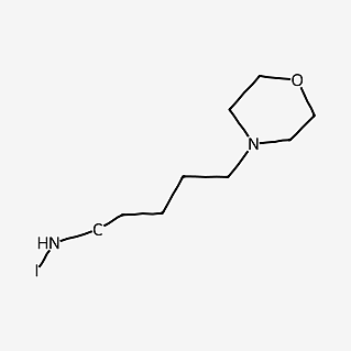 INCCCCCN1CCOCC1